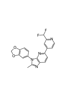 Cc1nc2ccc(-c3ccnc(C(F)F)c3)nc2n1-c1ccc2c(c1)OCO2